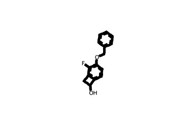 OC1Cc2c1ccc(OCc1ccccc1)c2F